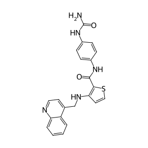 NC(=O)Nc1ccc(NC(=O)c2sccc2NCc2ccnc3ccccc23)cc1